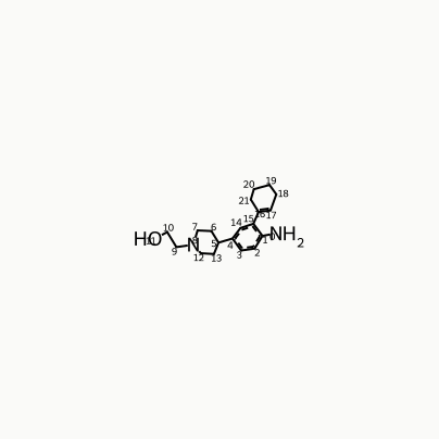 Nc1ccc(C2CCN(CCO)CC2)cc1C1=CCCCC1